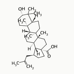 C=C(C)C[C@@H]1CC[C@]2(C(=O)O)CC[C@]3(C)[C@H](CC[C@@H]4[C@@]5(C)CC[C@H](O)C(C)(C)[C@@H]5CC[C@]43C)[C@@H]12